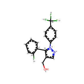 OCc1cnn(-c2ccc(C(F)(F)F)cc2)c1-c1ccccc1F